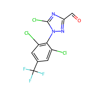 O=Cc1nc(Cl)n(-c2c(Cl)cc(C(F)(F)F)cc2Cl)n1